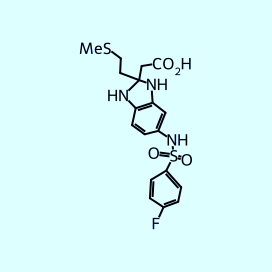 CSCCC1(CC(=O)O)Nc2ccc(NS(=O)(=O)c3ccc(F)cc3)cc2N1